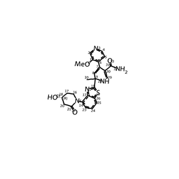 COc1cnccc1C1=CC(C)(c2nc3c(N4CC[C@@H](O)CC4=O)cccc3s2)NC=C1C(N)=O